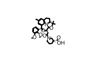 COc1cccc([C@H]2O[C@H](CC(=O)N3CCC[C@@H](C(=O)O)C3)C(=O)N3c4c(cc(C)cc42)CC[C@H]3C(C)(C)C)c1OC